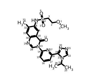 COCCS(=O)(=O)Nc1cc2c(=O)n(-c3cccc(-c4nncn4C(C)C)n3)cnc2cc1C